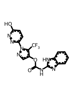 O=C(Nc1nc2ccccc2[nH]1)Oc1cnn(-c2ccc(O)nn2)c1C(F)(F)F